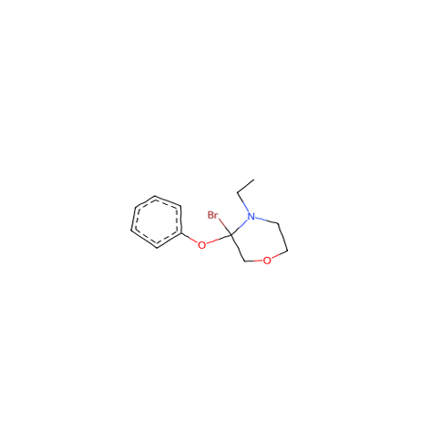 CCN1CCOCC1(Br)Oc1ccccc1